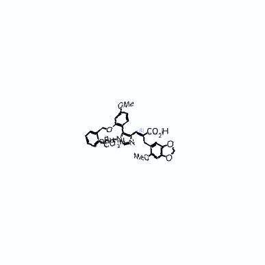 CCCCn1cnc(/C=C(\Cc2cc3c(cc2OC)OCO3)C(=O)O)c1-c1ccc(OC)cc1OCc1ccccc1C(=O)O